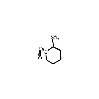 [O]=[Ce].[SiH3]C1CCCCO1